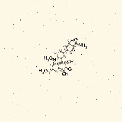 CCc1cc(N(C)c2ccc(-c3cnc(C(N)=O)c(C)c3)nc2)c2cc(C)c(=O)n(C)c2c1